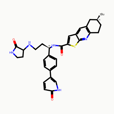 CC(C)(C)[C@H]1CCc2nc3sc(C(=O)N[C@H](CCNC4CCNC4=O)c4ccc(-c5ccc(=O)[nH]c5)cc4)cc3cc2C1